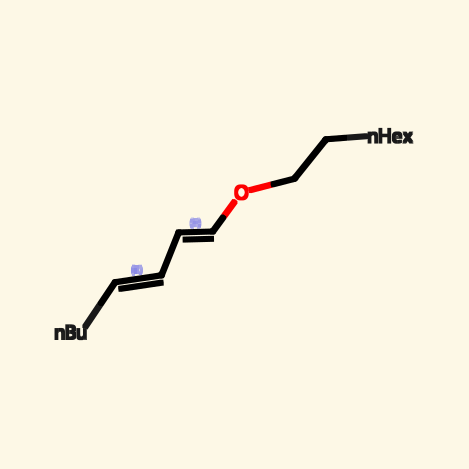 CCCC/C=C/C=C/OCCCCCCCC